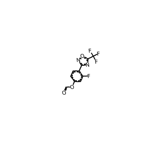 O=COc1ccc(-c2noc(C(F)(F)F)n2)c(F)c1